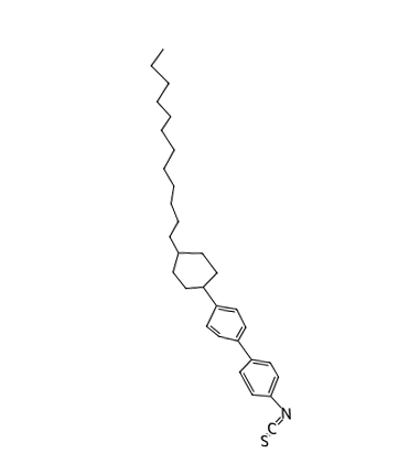 CCCCCCCCCCCCC1CCC(c2ccc(-c3ccc(N=C=S)cc3)cc2)CC1